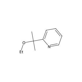 CCOC(C)(C)c1ccccn1